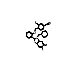 N#Cc1ccc(COc2ccccc2-c2nc3cc(F)c(F)cc3n2CC2CCCCC2)c(F)c1